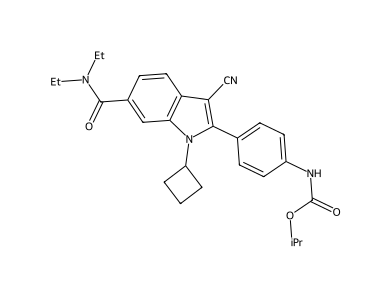 CCN(CC)C(=O)c1ccc2c(C#N)c(-c3ccc(NC(=O)OC(C)C)cc3)n(C3CCC3)c2c1